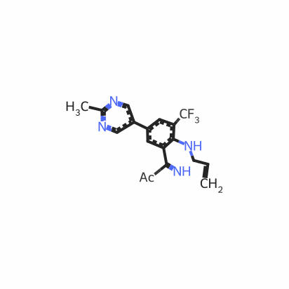 C=CCNc1c(C(=N)C(C)=O)cc(-c2cnc(C)nc2)cc1C(F)(F)F